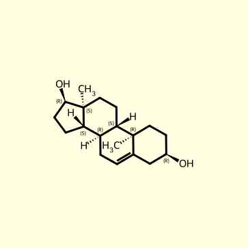 C[C@]12CC[C@H]3[C@@H](CC=C4C[C@H](O)CC[C@@]43C)[C@@H]1CC[C@H]2O